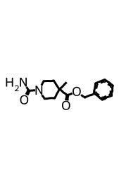 CC1(C(=O)OCc2ccccc2)CCN(C(N)=O)CC1